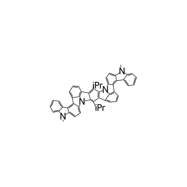 CC(C)c1c2c3cccc4c5c6c7ccccc7n(C)c6ccc5n(c2c(C(C)C)c2c5cccc6c7c8c9ccccc9n(C)c8ccc7n(c12)c56)c34